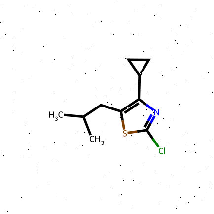 CC(C)Cc1sc(Cl)nc1C1CC1